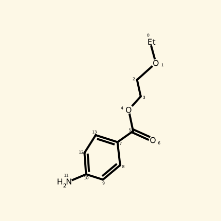 CCOCCOC(=O)c1ccc(N)cc1